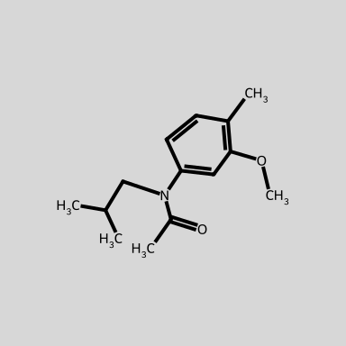 COc1cc(N(CC(C)C)C(C)=O)ccc1C